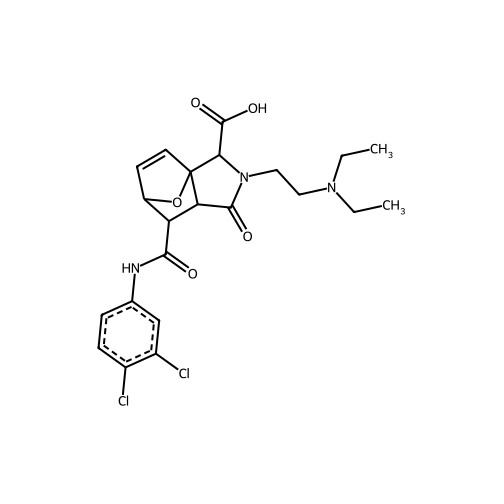 CCN(CC)CCN1C(=O)C2C(C(=O)Nc3ccc(Cl)c(Cl)c3)C3C=CC2(O3)C1C(=O)O